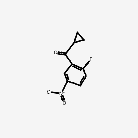 O=C(c1cc([N+](=O)[O-])ccc1F)C1CC1